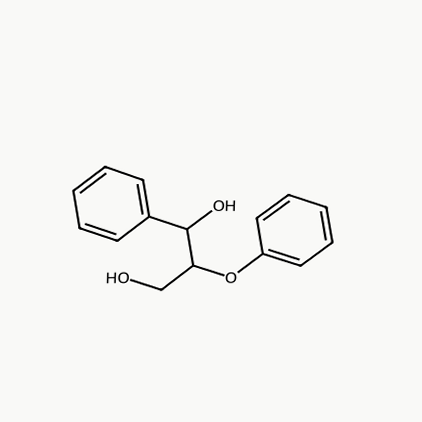 OCC(Oc1ccccc1)C(O)c1ccccc1